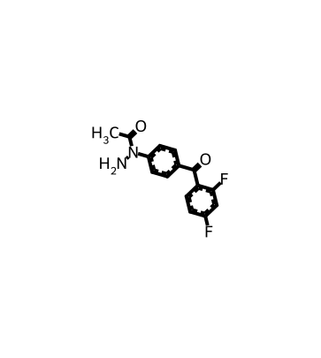 CC(=O)N(N)c1ccc(C(=O)c2ccc(F)cc2F)cc1